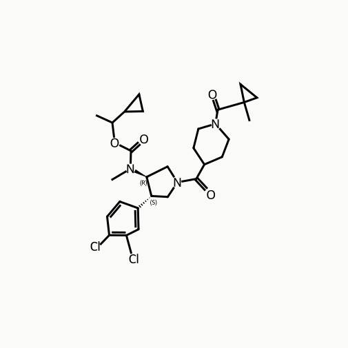 CC(OC(=O)N(C)[C@H]1CN(C(=O)C2CCN(C(=O)C3(C)CC3)CC2)C[C@@H]1c1ccc(Cl)c(Cl)c1)C1CC1